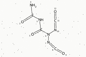 NC(=O)NC(=O)N(N=C=O)N=C=O